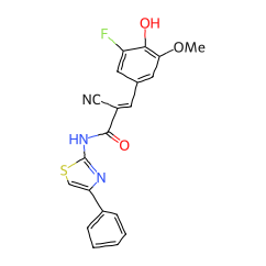 COc1cc(/C=C(\C#N)C(=O)Nc2nc(-c3ccccc3)cs2)cc(F)c1O